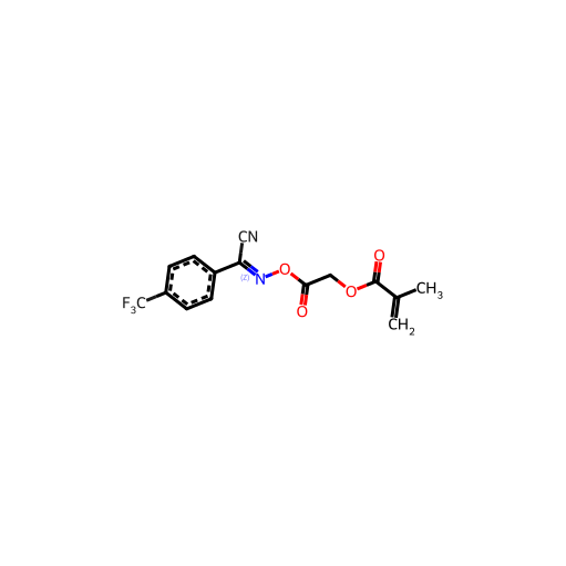 C=C(C)C(=O)OCC(=O)O/N=C(\C#N)c1ccc(C(F)(F)F)cc1